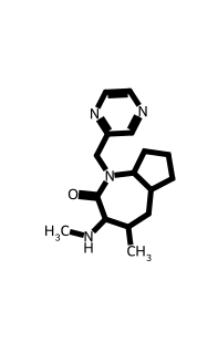 CNC1C(=O)N(Cc2cnccn2)C2CCCC2CC1C